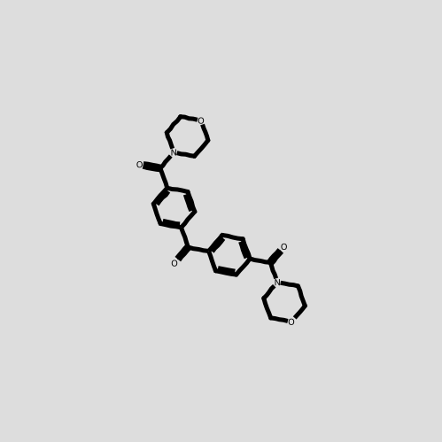 O=C(c1ccc(C(=O)N2CCOCC2)cc1)c1ccc(C(=O)N2CCOCC2)cc1